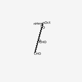 CCCCCCCCC(CCCCCC)COC(=O)CCCCCCCCCCCC(CCCCCCCCCCCC=O)OC=O